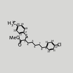 COC(=O)C(CCCCCc1ccc(Cl)cc1)Sc1ccc(C)cc1